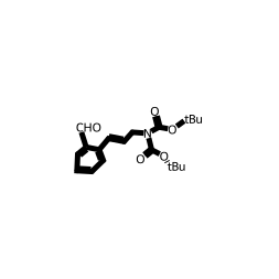 CC(C)(C)OC(=O)N(C/C=C/c1ccccc1C=O)C(=O)OC(C)(C)C